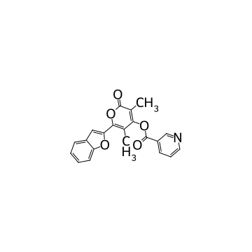 Cc1c(-c2cc3ccccc3o2)oc(=O)c(C)c1OC(=O)c1cccnc1